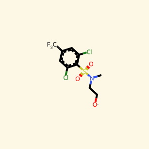 CN(CC[O])S(=O)(=O)c1c(Cl)cc(C(F)(F)F)cc1Cl